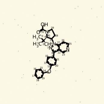 CC(C)(C)[C@@H]1C(n2nc(-c3ccc(Oc4ccccc4)cc3)c3cnccc32)CCN1C(=O)O